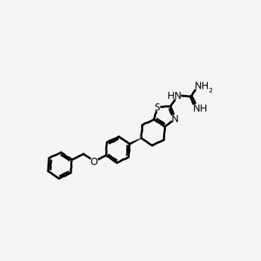 N=C(N)Nc1nc2c(s1)C[C@H](c1ccc(OCc3ccccc3)cc1)CC2